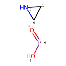 C1CN1.O=PO